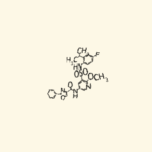 COc1ncc(NC(=O)c2coc(-c3ccccc3)n2)cc1S(=O)(=O)Nc1ccc(F)cc1C(C)C